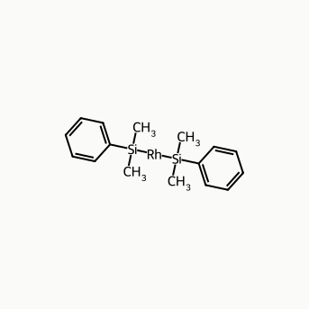 C[Si](C)([Rh][Si](C)(C)c1ccccc1)c1ccccc1